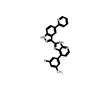 Cc1cc(F)cc(-c2ccnc3[nH]c(-c4n[nH]c5ccc(-c6ccccn6)cc45)nc23)c1